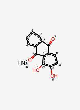 O=C1c2ccccc2C(=O)c2c1ccc(O)c2O.[NaH]